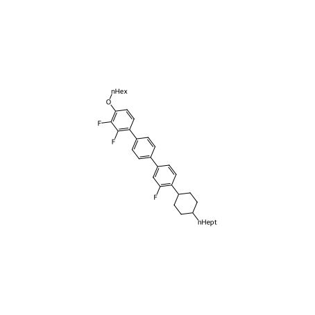 CCCCCCCC1CCC(c2ccc(-c3ccc(-c4ccc(OCCCCCC)c(F)c4F)cc3)cc2F)CC1